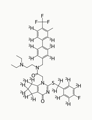 [2H]c1c([2H])c(C([2H])([2H])Sc2nc(=O)c3c(n2CC(=O)N(CCN(CC)CC)Cc2c([2H])c([2H])c(-c4c([2H])c([2H])c(C(F)(F)F)c(C)c4[2H])c([2H])c2[2H])C([2H])([2H])C([2H])([2H])C3([2H])[2H])c([2H])c([2H])c1F